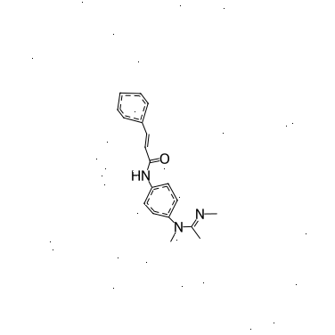 CN=C(C)N(C)c1ccc(NC(=O)C=Cc2ccccc2)cc1